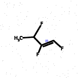 CC(F)/C(F)=C/F